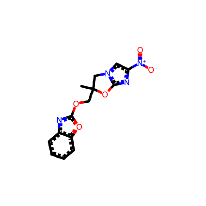 CC1(COc2nc3ccccc3o2)Cn2cc([N+](=O)[O-])nc2O1